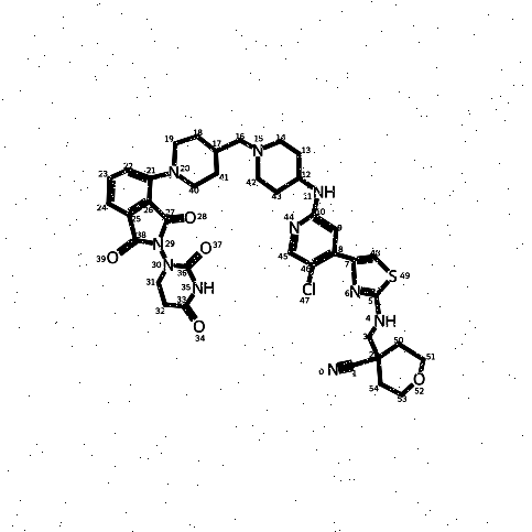 N#CC1(CNc2nc(-c3cc(NC4CCN(CC5CCN(c6cccc7c6C(=O)N(N6CCC(=O)NC6=O)C7=O)CC5)CC4)ncc3Cl)cs2)CCOCC1